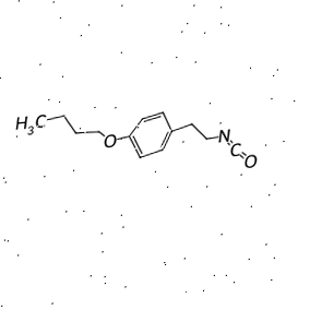 CCCCOc1ccc(CCN=C=O)cc1